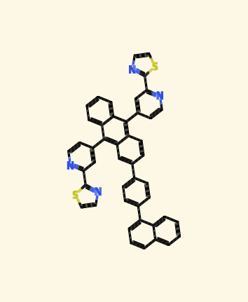 c1ccc2c(-c3ccc(-c4ccc5c(-c6ccnc(-c7nccs7)c6)c6ccccc6c(-c6ccnc(-c7nccs7)c6)c5c4)cc3)cccc2c1